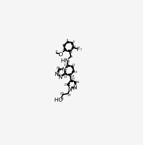 COc1cccc(F)c1CNc1ccc(-c2cnn(CCO)c2)c2nncn12